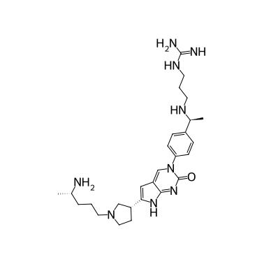 C[C@H](N)CCCN1CC[C@@H](c2cc3cn(-c4ccc([C@H](C)NCCCNC(=N)N)cc4)c(=O)nc3[nH]2)C1